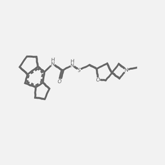 CN1CC2(COC(CSNC(=O)Nc3c4c(cc5c3CCC5)CCC4)C2)C1